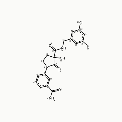 NC(=O)c1cncc(N2CCC(O)(C(=O)NCc3cc(F)cc(Cl)c3)C2=O)c1